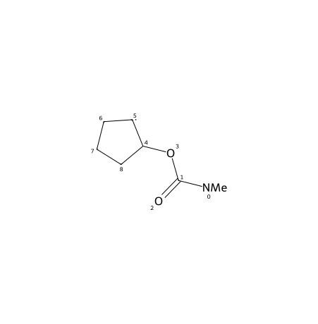 CNC(=O)OC1[CH]CCC1